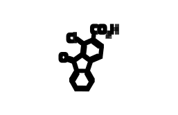 O=C(O)c1ccc2c(c1Cl)C(=O)c1ccccc1-2